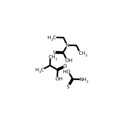 CC(C)C(=O)O.CCN(CC)C(O)=S.NC(O)=S